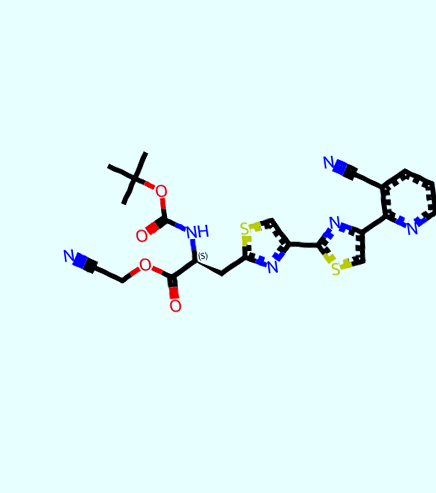 CC(C)(C)OC(=O)N[C@@H](Cc1nc(-c2nc(-c3ncccc3C#N)cs2)cs1)C(=O)OCC#N